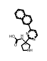 O=C(O)N[C@]1(c2nccc(-c3ccc4ccccc4c3)n2)CCNC1